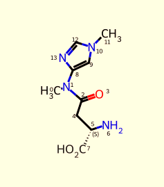 CN(C(=O)C[C@H](N)C(=O)O)c1cn(C)cn1